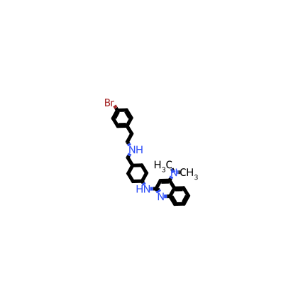 CN(C)c1cc(NC2CCC(CNCCc3ccc(Br)cc3)CC2)nc2ccccc12